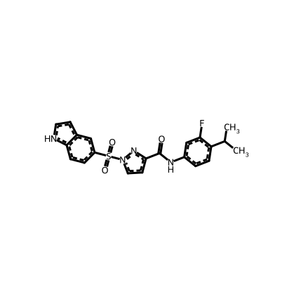 CC(C)c1ccc(NC(=O)c2ccn(S(=O)(=O)c3ccc4[nH]ccc4c3)n2)cc1F